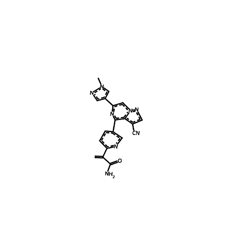 C=C(C(N)=O)c1ccc(-c2nc(-c3cnn(C)c3)cn3ncc(C#N)c23)cn1